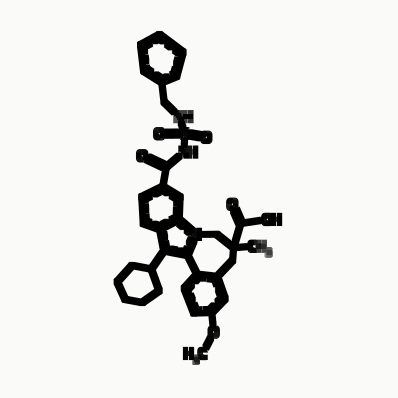 COc1ccc2c(c1)CC(C)(C(=O)O)Cn1c-2c(C2CCCCC2)c2ccc(C(=O)NS(=O)(=O)NCc3ccccc3)cc21